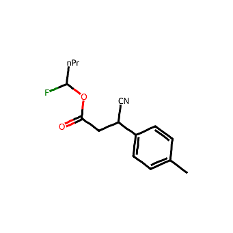 CCCC(F)OC(=O)CC(C#N)c1ccc(C)cc1